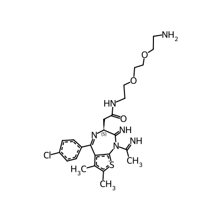 CC(=N)N1C(=N)[C@H](CC(=O)NCCOCCOCCN)N=C(c2ccc(Cl)cc2)c2c1sc(C)c2C